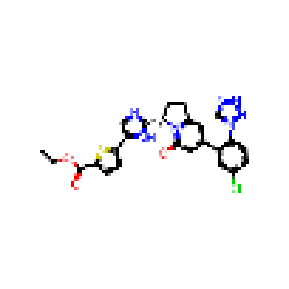 CCOC(=O)c1ccc(-c2cnc([C@@H]3CCc4cc(-c5cc(Cl)ccc5-n5cnnn5)cc(=O)n43)[nH]2)s1